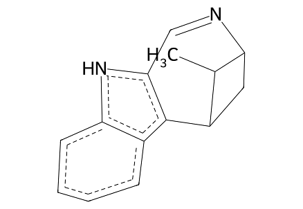 CC1C2CC1c1c([nH]c3ccccc13)C=N2